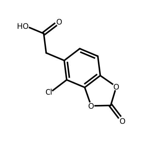 O=C(O)Cc1ccc2oc(=O)oc2c1Cl